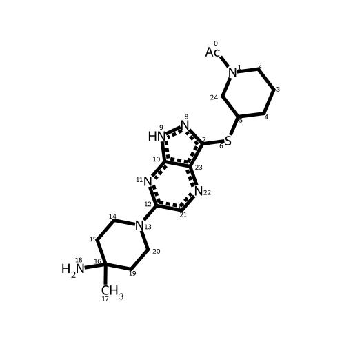 CC(=O)N1CCCC(Sc2n[nH]c3nc(N4CCC(C)(N)CC4)cnc23)C1